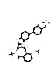 [2H]C([2H])([2H])N1C(=O)c2cccc(OC(F)F)c2[C@H]2C[C@@H]1c1nc3ccc(-c4ccc([C@@H](C)P(C)(C)=O)c(F)c4)cc3n12